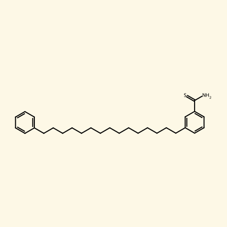 NC(=S)c1cccc(CCCCCCCCCCCCCCCc2ccccc2)c1